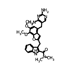 COc1cc(Cc2cnc(N)nc2N)c2cc(Cc3c(C(=O)N(C)C)[nH]c4ccccc34)oc2c1OC